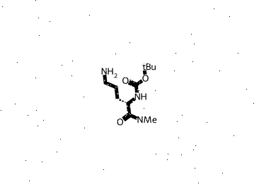 CNC(=O)[C@H](CCCN)NC(=O)OC(C)(C)C